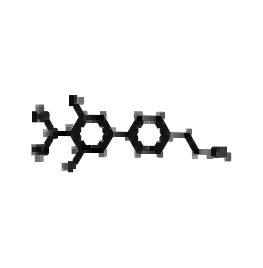 CCCc1ccc(-c2cc(F)c(B(O)O)c(F)c2)cc1